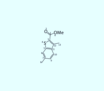 COC(=O)c1sc2cc(C)ccc2c1C